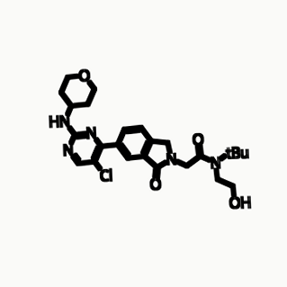 CC(C)(C)N(CCO)C(=O)CN1Cc2ccc(-c3nc(NC4CCOCC4)ncc3Cl)cc2C1=O